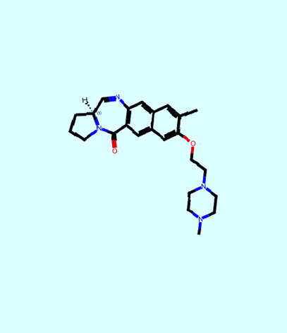 Cc1cc2cc3c(cc2cc1OCCN1CCN(C)CC1)C(=O)N1CCC[C@H]1C=N3